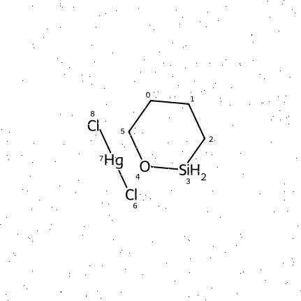 C1CC[SiH2]OC1.[Cl][Hg][Cl]